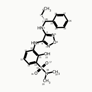 CC[C@@H](Nc1nonc1Nc1cccc(S(=O)(=O)N(C)C)c1O)c1ccccc1